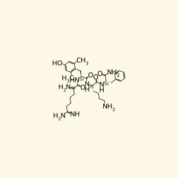 Cc1cc(O)cc(C)c1C[C@H](NC(=O)[C@H](N)CCCCC(=N)N)C(=O)N[C@@H](CCCCN)C(=O)N[C@@H](Cc1ccccc1)C(N)=O